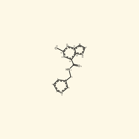 O=C(NCc1cccnc1)c1nc(Cl)nc2ccsc12